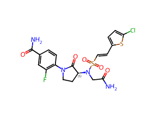 NC(=O)CN([C@H]1CCN(c2ccc(C(N)=O)cc2F)C1=O)S(=O)(=O)C=Cc1ccc(Cl)s1